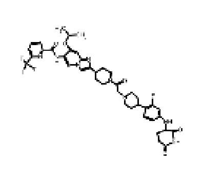 CC(C)Oc1cc2nc(C3CCN(C(=O)CN4CCC(c5ccc(NC6CCC(=O)NC6=O)cc5F)CC4)CC3)cn2cc1NC(=O)c1cccc(C(F)(F)F)n1